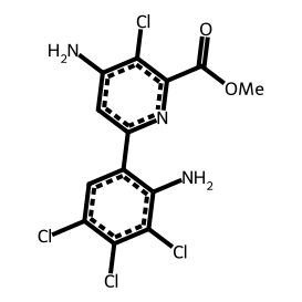 COC(=O)c1nc(-c2cc(Cl)c(Cl)c(Cl)c2N)cc(N)c1Cl